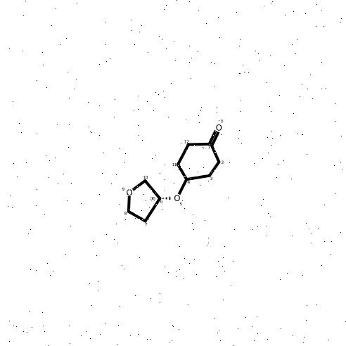 O=C1CCC(O[C@@H]2CCOC2)CC1